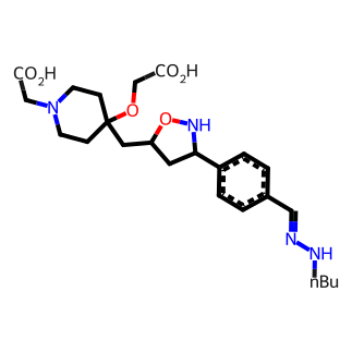 CCCCNN=Cc1ccc(C2CC(CC3(OCC(=O)O)CCN(CC(=O)O)CC3)ON2)cc1